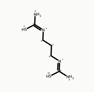 NC(S)=NCCCN=C(N)S